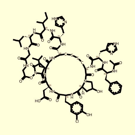 CCC(C)[C@H](NC(=O)[C@H](Cc1c[nH]cn1)NC(=O)[C@@H]1CSSC[C@H](NC(=O)[C@H](Cc2c[nH]cn2)NC(=O)[C@H](Cc2ccccc2)NC(C)=O)C(=O)N2CC(O)C[C@H]2C(=O)N[C@@H](Cc2ccc(O)c(Cl)c2)C(=O)N[C@@H](CC(=O)O)C(=O)N[C@@H](CC(C)C)C(=O)N1)C(=O)N[C@@H](CC(C)C)C(=O)NCC(=O)NCC(=O)ON1C(=O)CCC1=O